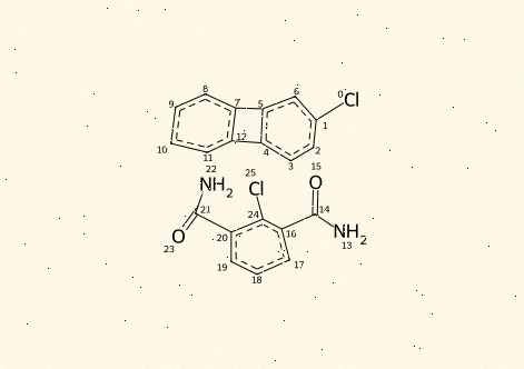 Clc1ccc2c(c1)-c1ccccc1-2.NC(=O)c1cccc(C(N)=O)c1Cl